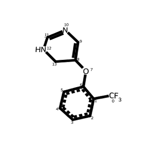 FC(F)(F)c1ccccc1OC1=CN=[C]NC1